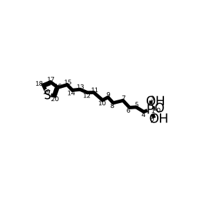 O=P(O)(O)CCCCCCCCCCCCc1ccsc1